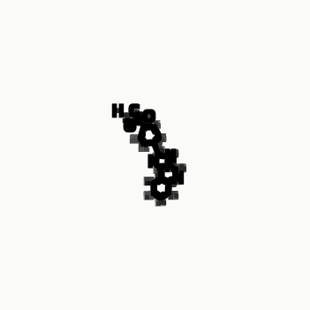 CS(=O)(=O)c1ccc(-c2nc3c4ccccc4ncn3n2)cc1